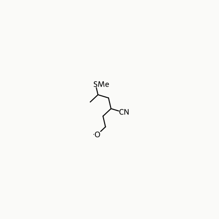 CSC(C)CC(C#N)CC[O]